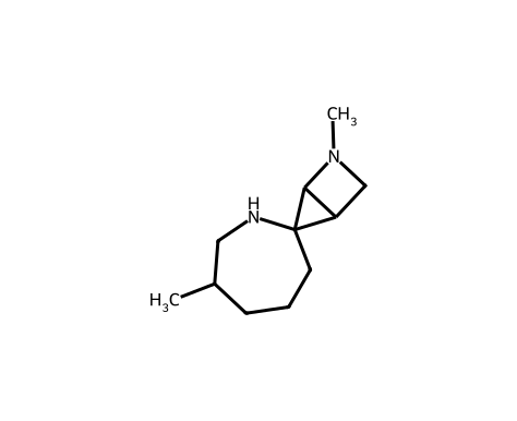 CC1CCCC2(NC1)C1CN(C)C12